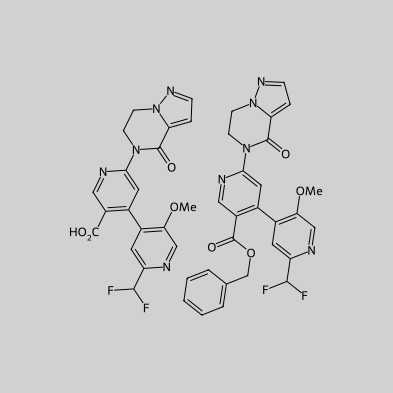 COc1cnc(C(F)F)cc1-c1cc(N2CCn3nccc3C2=O)ncc1C(=O)O.COc1cnc(C(F)F)cc1-c1cc(N2CCn3nccc3C2=O)ncc1C(=O)OCc1ccccc1